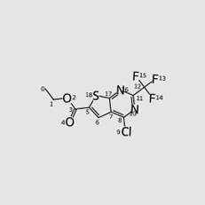 CCOC(=O)c1cc2c(Cl)nc(C(F)(F)F)nc2s1